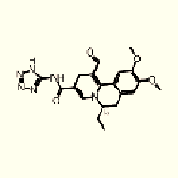 CC[C@@H]1Cc2cc(OC)c(OC)cc2C2=C(C=O)CC(C(=O)Nc3nnn[nH]3)=CN21